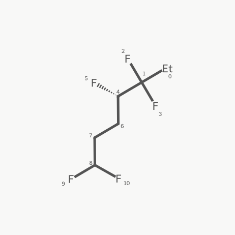 [CH2]CC(F)(F)[C@@H](F)CCC(F)F